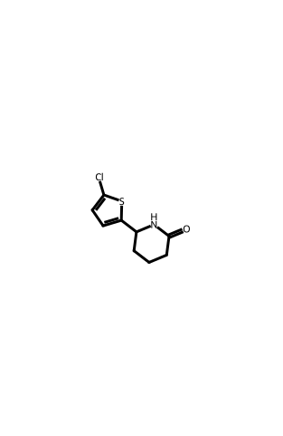 O=C1CCCC(c2ccc(Cl)s2)N1